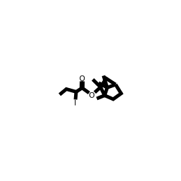 CCC(I)C(=O)OC1(C)CC2CCC1(C)C2(C)C